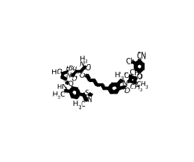 Cc1ncsc1-c1ccc([C@H](C)NC(=O)[C@@H]2C[C@@H](O)CN2C(=O)[C@H]([C@H](OCCCCCCc2ccc3c(c2)CN(C2C(C)(C)C(Oc4ccc(C#N)c(Cl)c4)C2(C)C)C3=O)C(N)=O)C(C)(C)C)cc1